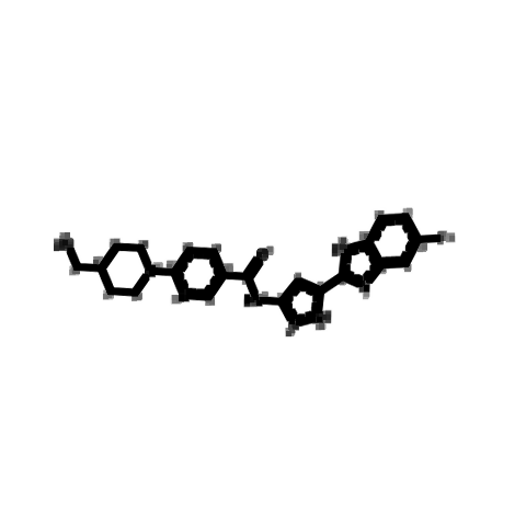 O=C(Nc1cc(-c2nc3cc(F)ccc3[nH]2)[nH]n1)c1ccc(N2CCC(CO)CC2)nc1